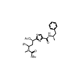 CCCCC(=O)N(C)C(C[C@@H](OC(C)=O)c1nc(C(=O)N[C@H](C)Cc2ccccc2)cs1)C(C)C